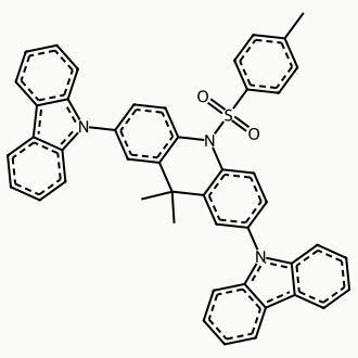 Cc1ccc(S(=O)(=O)N2c3ccc(-n4c5ccccc5c5ccccc54)cc3C(C)(C)c3cc(-n4c5ccccc5c5ccccc54)ccc32)cc1